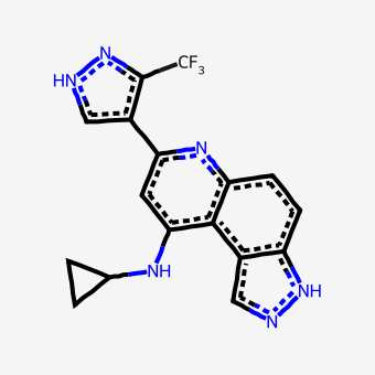 FC(F)(F)c1n[nH]cc1-c1cc(NC2CC2)c2c(ccc3[nH]ncc32)n1